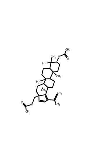 C=C(C)C1=C2C3CCC4[C@@]5(C)CC[C@H](OC(C)=O)C(C)(C)C5CC[C@@]4(C)[C@]3(C)CC[C@@]2(COC(C)=O)C=C1